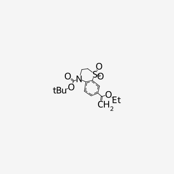 C=C(OCC)c1ccc2c(c1)S(=O)(=O)CCN2C(=O)OC(C)(C)C